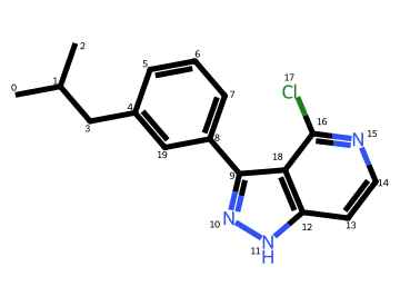 CC(C)Cc1cccc(-c2n[nH]c3ccnc(Cl)c23)c1